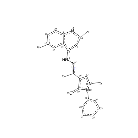 C/C(=N\Nc1cc(C)nc2ccc(C)cc12)c1cn(C)n(-c2ccccc2)c1=O